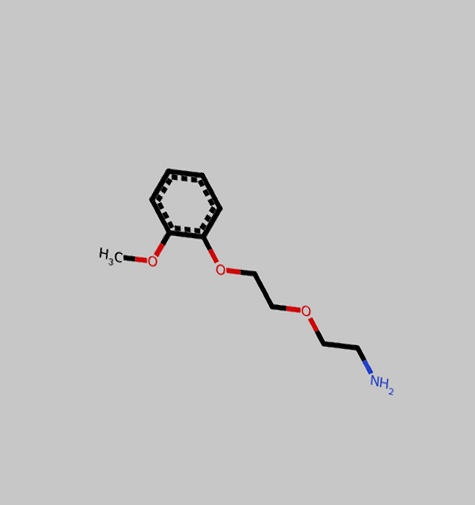 COc1ccccc1OCCOCCN